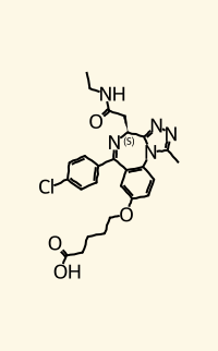 CCNC(=O)C[C@@H]1N=C(c2ccc(Cl)cc2)c2cc(OCCCCC(=O)O)ccc2-n2c(C)nnc21